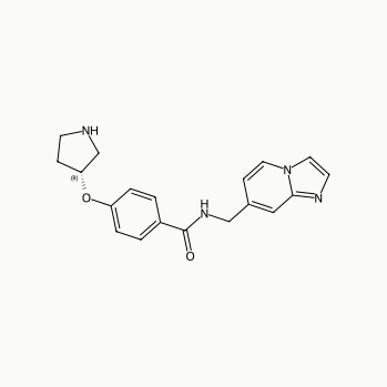 O=C(NCc1ccn2ccnc2c1)c1ccc(O[C@@H]2CCNC2)cc1